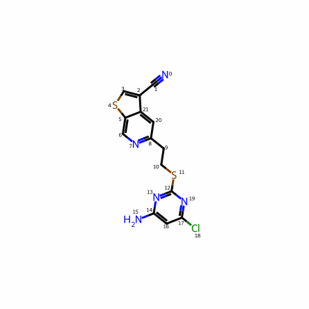 N#Cc1csc2cnc(CCSc3nc(N)cc(Cl)n3)cc12